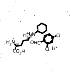 NC1CCCCC1.NCCC[C@H](N)C(=O)O.O=Cc1ccc(Cl)cc1Cl.[H+]